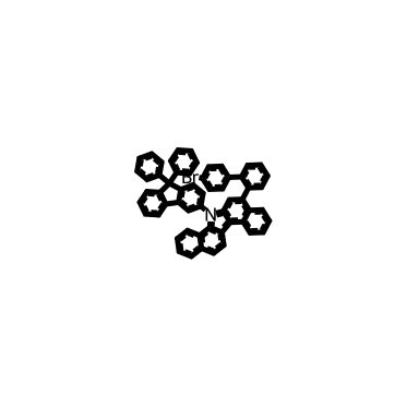 Brc1ccc(-c2ccccc2-c2cc3c(c4ccccc24)c2ccc4ccccc4c2n3-c2ccc3c(c2)-c2ccccc2C3(c2ccccc2)c2ccccc2)cc1